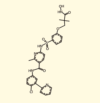 Cc1nc(NS(=O)(=O)c2cccc(OCC(C)(C)C(=O)NO)c2)ccc1C(=O)Nc1ccc(Cl)c(-c2ccccn2)c1